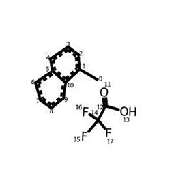 Cc1cccc2ccccc12.O=C(O)C(F)(F)F